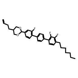 C=CCCC1COC(c2ccc(-c3ccc(-c4ccc(CCCCCCC)c(F)c4F)cc3)c(F)c2)OC1